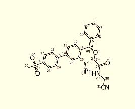 CC(C)C[C@H](O[C@H](c1ccccc1)c1ccc(-c2ccc(S(C)(=O)=O)cc2)cc1)C(=O)NCC#N